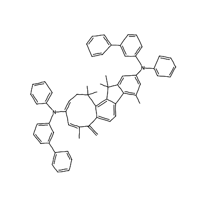 C=C1/C(C)=C\C(N(c2ccccc2)c2cccc(-c3ccccc3)c2)=C/CC(C)(C)c2c1ccc1c2C(C)(C)c2cc(N(c3ccccc3)c3cccc(-c4ccccc4)c3)cc(C)c2-1